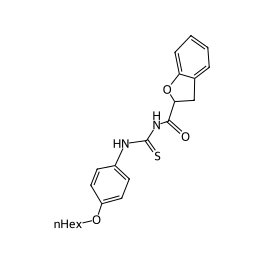 CCCCCCOc1ccc(NC(=S)NC(=O)C2Cc3ccccc3O2)cc1